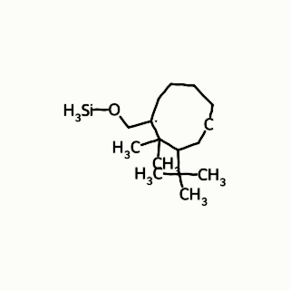 CC(C)(C)C1CCCCCC[C](CO[SiH3])C1(C)C